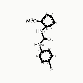 COc1ccccc1NC(=O)Nc1ccc(C)cc1